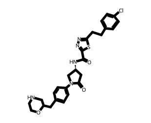 O=C(N[C@@H]1CC(=O)N(c2ccc(CC3CNCCO3)cc2)C1)c1nnc(CCc2ccc(Cl)cc2)s1